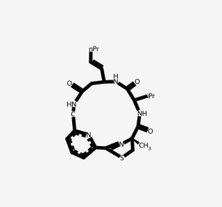 CCC/C=C/C1CC(=O)NCc2cccc(n2)C2=N[C@@](C)(CS2)C(=O)NC(C(C)C)C(=O)N1